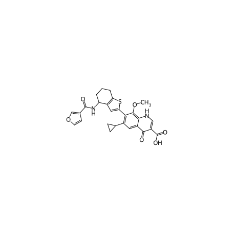 COc1c(-c2cc3c(s2)CCCC3NC(=O)c2ccoc2)c(C2CC2)cc2c(=O)c(C(=O)O)c[nH]c12